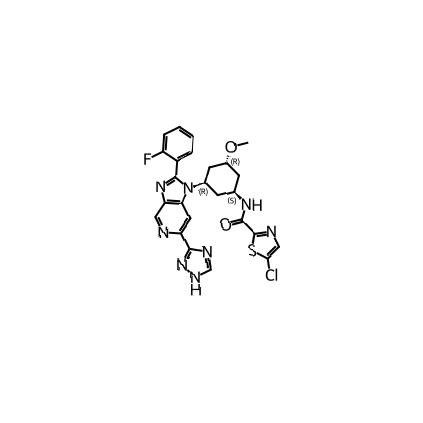 CO[C@@H]1C[C@@H](NC(=O)c2ncc(Cl)s2)C[C@@H](n2c(-c3ccccc3F)nc3cnc(-c4nc[nH]n4)cc32)C1